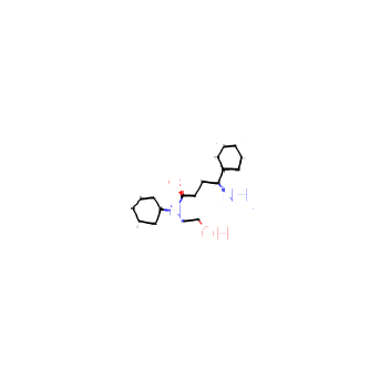 NC(CCC(=O)N(CCO)C1CCCCC1)C1CCCCC1